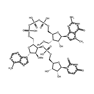 CO[C@@H]1[C@H](OP(=O)(O)OC[C@H]2O[C@@H](n3ccc(=O)[nH]c3=O)[C@H](O)[C@@H]2O)[C@@H](COP(=O)(O)OP(=O)(O)OP(=O)(O)OC[C@H]2O[C@@H](n3c[n+](C)c4c(=O)[nH]c(N)nc43)[C@H](O)[C@@H]2COC(C)C)O[C@H]1n1cnc2c(N)ncnc21